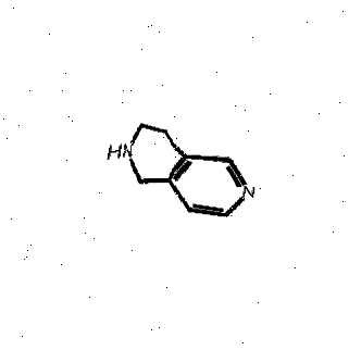 [c]1cc2c(cn1)CCNC2